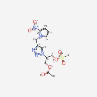 CC(=O)OCC(COS(C)(=O)=O)n1cc(Cn2cccc2[N+](=O)[O-])nn1